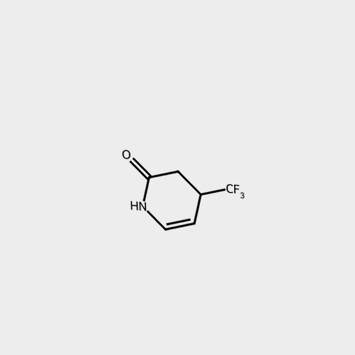 O=C1CC(C(F)(F)F)C=CN1